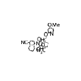 COc1ccnc(OCC[C@@]23CC[C@@](C)(O2)[C@H]2C(=O)N(c4ccc(C#N)c5ccccc45)C(=O)[C@H]23)c1